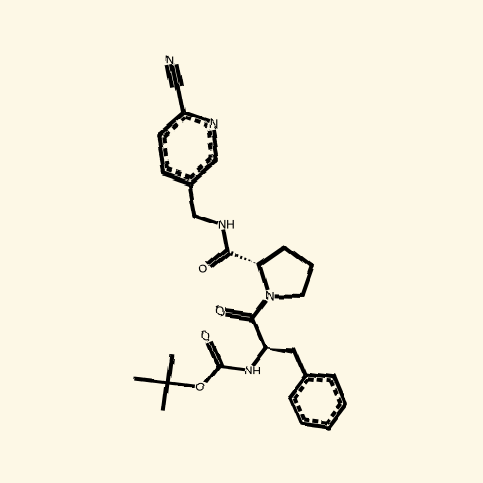 CC(C)(C)OC(=O)N[C@H](Cc1ccccc1)C(=O)N1CCC[C@H]1C(=O)NCc1ccc(C#N)nc1